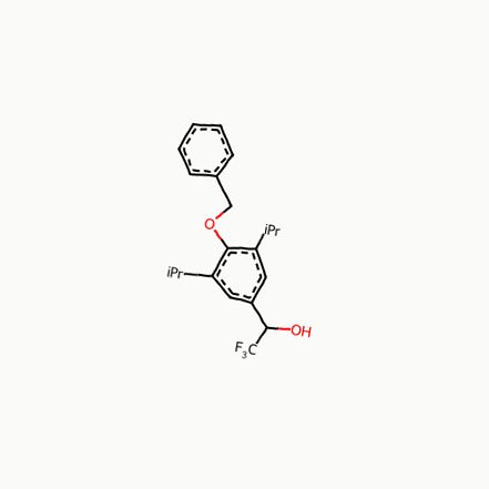 CC(C)c1cc(C(O)C(F)(F)F)cc(C(C)C)c1OCc1ccccc1